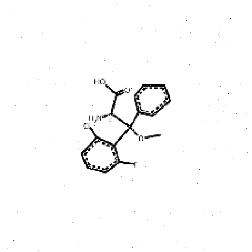 COC(c1ccccc1)(c1c(F)cccc1Cl)[C@@H](N)C(=O)O